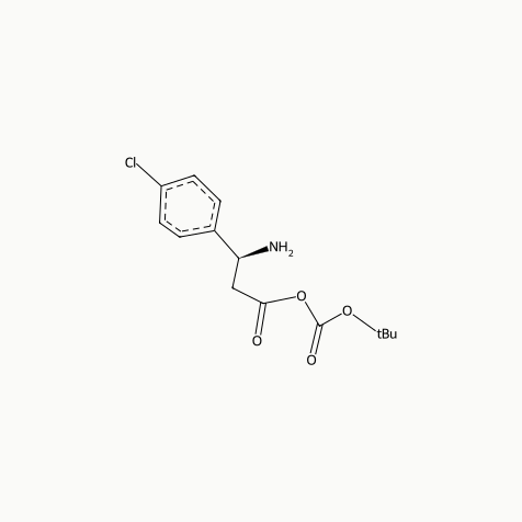 CC(C)(C)OC(=O)OC(=O)C[C@H](N)c1ccc(Cl)cc1